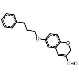 O=CC1=Cc2cc(OCCCc3ccccc3)ccc2OC1